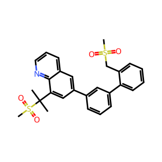 CC(C)(c1cc(-c2cccc(-c3ccccc3CS(C)(=O)=O)c2)cc2cccnc12)S(C)(=O)=O